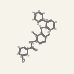 Cc1ccc(NC(=O)c2cccc(Cl)c2)c(C)c1Oc1ncccc1-c1ccncn1